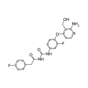 Nc1nccc(Oc2ccc(NC(=O)NC(=O)Cc3ccc(F)cc3)cc2F)c1CO